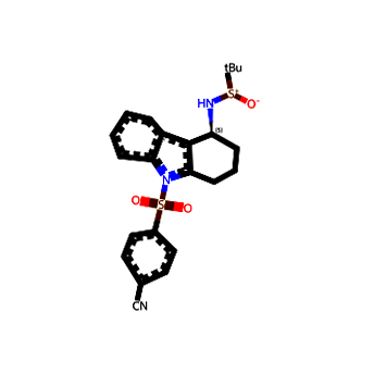 CC(C)(C)[S+]([O-])N[C@H]1CCCc2c1c1ccccc1n2S(=O)(=O)c1ccc(C#N)cc1